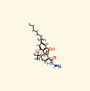 CCCCCCC(C)(C)c1cc(O)c2c(c1)OC(C)(C)[C@@H]1CC=C(C(=O)NC#N)C[C@@H]21